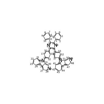 c1ccc2c(c1)c1ccccc1c1nc(-c3ccc(-n4c5ccccc5c5ccncc54)cc3)c(-c3ccc(-n4c5ccccc5c5ccncc54)cc3)nc21